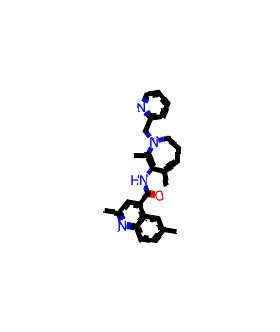 CC1=CCCN(Cc2ccccn2)C(C)=C1NC(=O)c1cc(C)nc2ccc(C)cc12